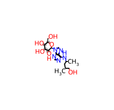 CC(CO)CC(C)Nc1ncnc2c1ncn2C1O[C@H](CO)[C@@H](O)[C@H](O)[C@H]1O